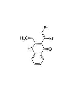 C=Cc1[nH]c2ccccc2c(=O)c1/C(=C/CC)CC